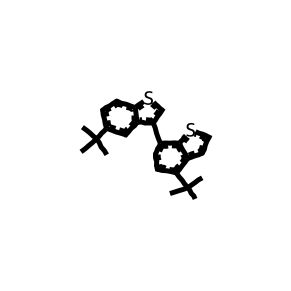 CC(C)(C)c1ccc2scc(-c3ccc(C(C)(C)C)c4ccsc34)c2c1